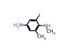 CNc1c(C)cc(N)cc1I